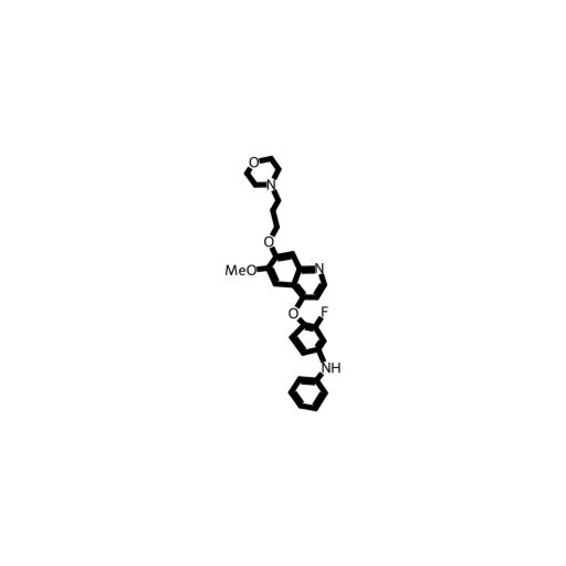 COc1cc2c(Oc3ccc(Nc4ccccc4)cc3F)ccnc2cc1OCCCN1CCOCC1